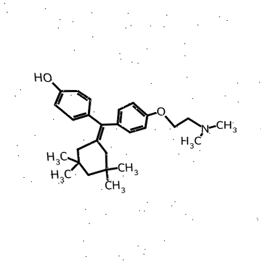 CN(C)CCOc1ccc(C(=C2CC(C)(C)CC(C)(C)C2)c2ccc(O)cc2)cc1